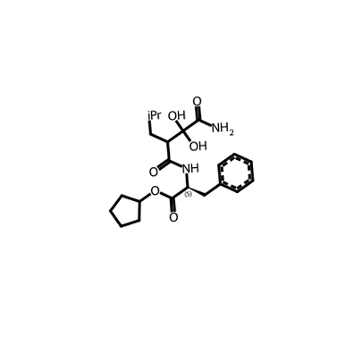 CC(C)CC(C(=O)N[C@@H](Cc1ccccc1)C(=O)OC1CCCC1)C(O)(O)C(N)=O